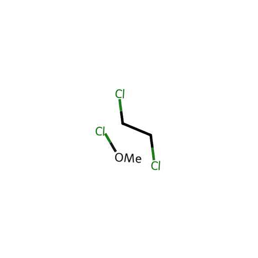 COCl.ClCCCl